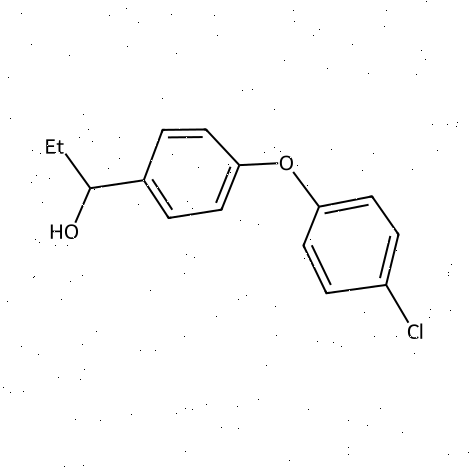 CCC(O)c1ccc(Oc2ccc(Cl)cc2)cc1